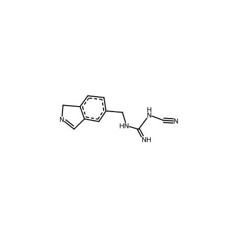 N#CNC(=N)NCc1ccc2c(c1)C=NC2